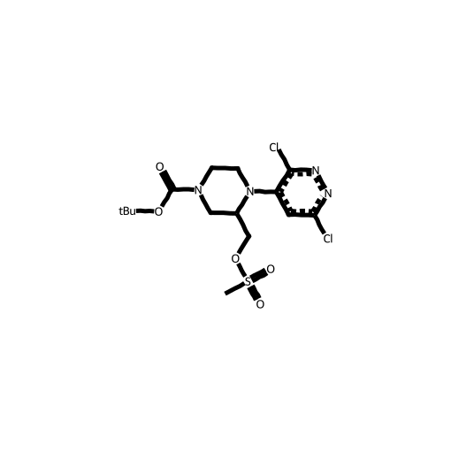 CC(C)(C)OC(=O)N1CCN(c2cc(Cl)nnc2Cl)C(COS(C)(=O)=O)C1